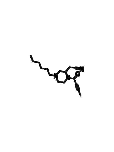 CC#CC(=O)N1CCN(CCCCCC)CC1CC#N